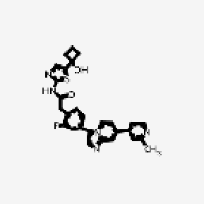 Cc1cc(-c2ccn3c(-c4ccc(CC(=O)Nc5ncc(C6(O)CCC6)s5)c(F)c4)cnc3c2)ccn1